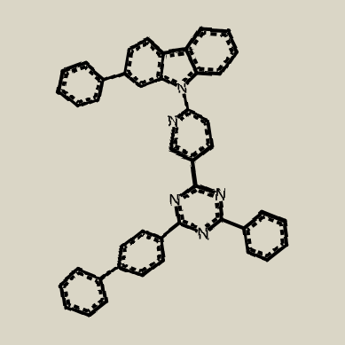 c1ccc(-c2ccc(-c3nc(-c4ccccc4)nc(-c4ccc(-n5c6ccccc6c6ccc(-c7ccccc7)cc65)nc4)n3)cc2)cc1